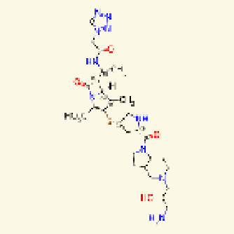 C[C@@H](NC(=O)Cn1cnnn1)[C@H]1C(=O)N2C(C(=O)O)=C(S[C@@H]3CN[C@H](C(=O)N4CCC5CN(CC(O)CN)CCC54)C3)[C@H](C)[C@H]12